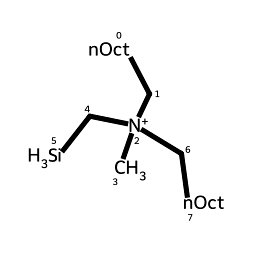 CCCCCCCCC[N+](C)(C[SiH3])CCCCCCCCC